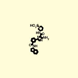 Nc1ncc(-c2cccc(C(=O)N[C@H]3CCc4ccccc43)c2)nc1C(=O)N[C@H]1CCCN(C(=O)O)C1